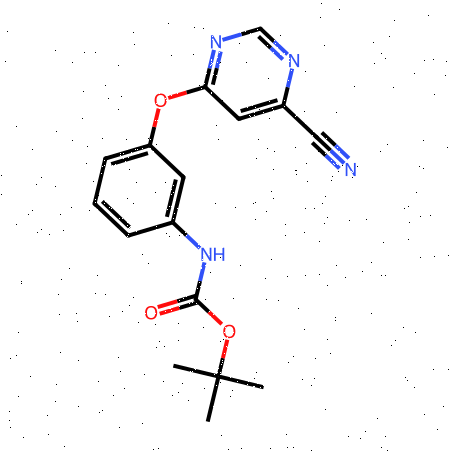 CC(C)(C)OC(=O)Nc1cccc(Oc2cc(C#N)ncn2)c1